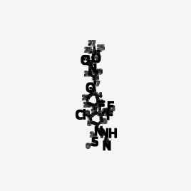 CSCN(NC#N)c1cc(Cl)c(-c2ccc(OCC3CN(C(=O)OC(C)(C)C)C3)cc2)c(C(F)(F)F)c1